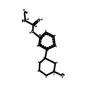 CCCN1CCCC(c2cccc(OC(=O)NC(C)C)c2)C1